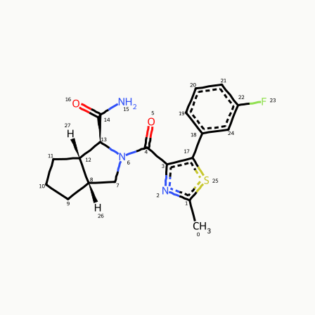 Cc1nc(C(=O)N2C[C@@H]3CCC[C@@H]3[C@H]2C(N)=O)c(-c2cccc(F)c2)s1